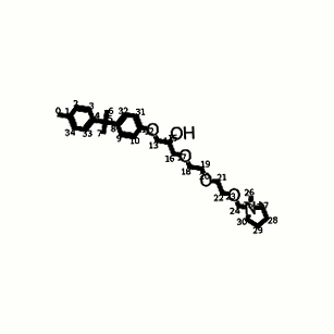 Cc1ccc(C(C)(C)c2ccc(OCC(O)COCCOCCOC[N+]3(C)CCCC3)cc2)cc1